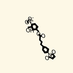 O=C(CCCc1ccc(N2C(=O)C=CC2=O)cc1)OCc1ccc([N+](=O)[O-])c(CO)c1